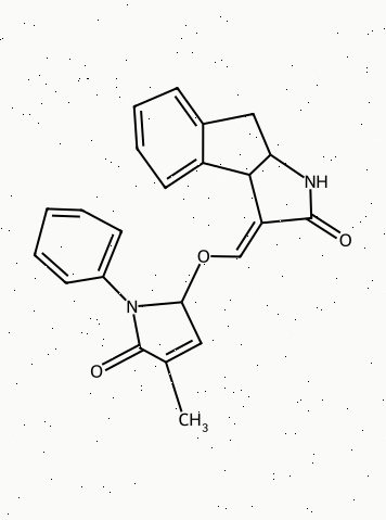 CC1=CC(O/C=C2/C(=O)NC3Cc4ccccc4C23)N(c2ccccc2)C1=O